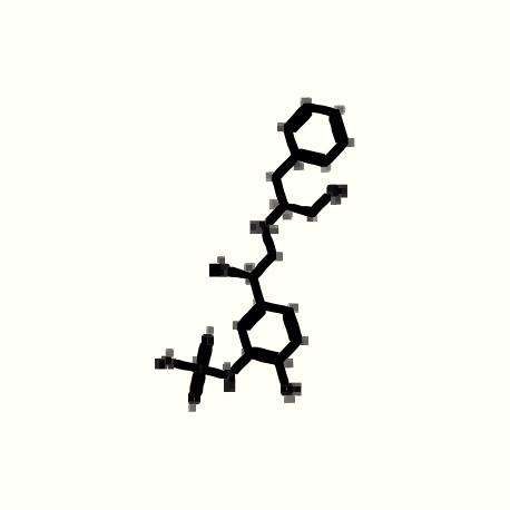 CCCS(=O)(=O)Nc1cc([C@@H](O)CN[C@H](CO)Cc2ccccc2)ccc1O